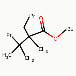 CCC(C)OC(=O)C(C)(CC(C)C)C(C)(C)CC